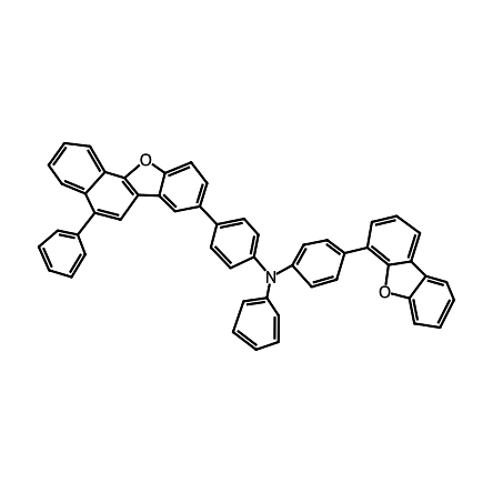 c1ccc(-c2cc3c4cc(-c5ccc(N(c6ccccc6)c6ccc(-c7cccc8c7oc7ccccc78)cc6)cc5)ccc4oc3c3ccccc23)cc1